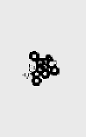 CC1(C)c2ccccc2-c2ccc(N(c3ccccc3)c3cccc4c3C3(c5ccccc5O4)c4ccccc4-c4ccccc43)cc21